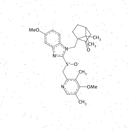 COc1ccc2c(c1)nc([S+]([O-])Cc1ncc(C)c(OC)c1C)n2CC12CCC(CC1=O)C2(C)C